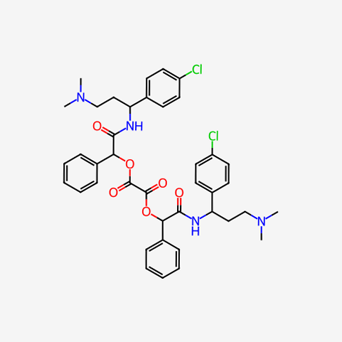 CN(C)CCC(NC(=O)C(OC(=O)C(=O)OC(C(=O)NC(CCN(C)C)c1ccc(Cl)cc1)c1ccccc1)c1ccccc1)c1ccc(Cl)cc1